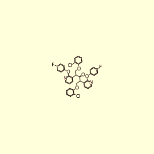 O=C(C(COc1ccccc1Cl)c1cccnc1Oc1ccc(F)cc1)C(COc1ccccc1Cl)c1cccnc1Oc1ccc(F)cc1